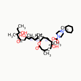 CC[C@H](O)[C@@H](C)[C@H]1O[C@@H]1C[C@@](C)(O)/C=C/C=C(\C)[C@H]1OC(=O)C[C@H](C)CC[C@@](C)(O)[C@@H](OC(=O)N2CC[N+](C)(C3CCCCCC3)CC2)/C=C/[C@@H]1C